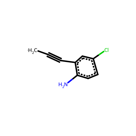 [CH2]C#Cc1cc(Cl)ccc1N